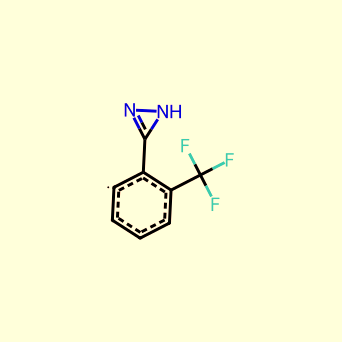 FC(F)(F)c1ccc[c]c1C1=NN1